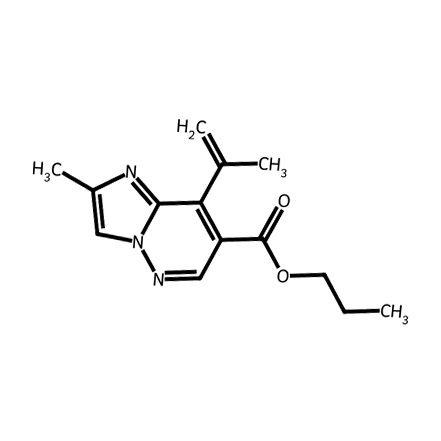 C=C(C)c1c(C(=O)OCCC)cnn2cc(C)nc12